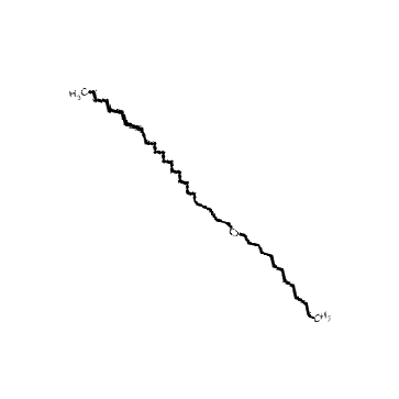 CCCCCCCCCCCCCCCCCCCCCCCCOCCCCCCCCCCCCC